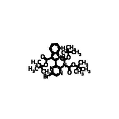 CC(C)(C)OC(=O)c1c(-c2nc(Br)cnc2N(C(=O)OC(C)(C)C)C(=O)OC(C)(C)C)[nH]c2ccccc12